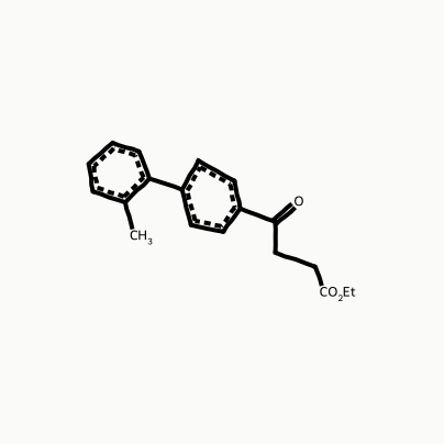 CCOC(=O)CCC(=O)c1ccc(-c2ccccc2C)cc1